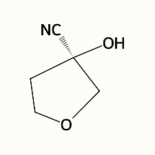 N#C[C@@]1(O)CCOC1